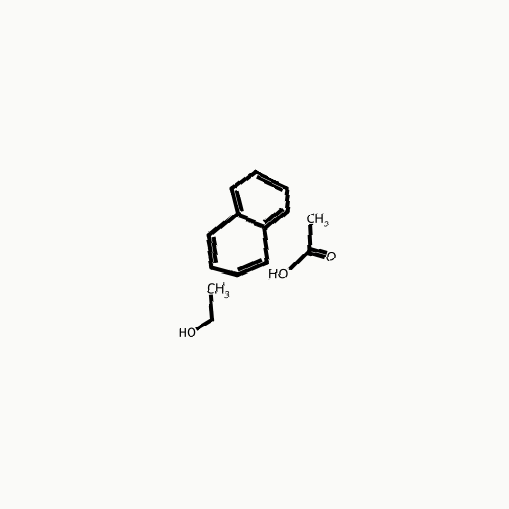 CC(=O)O.CCO.c1ccc2ccccc2c1